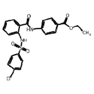 CCOC(=O)c1ccc(NC(=O)c2ccccc2NS(=O)(=O)c2ccc(Cl)cc2)cc1